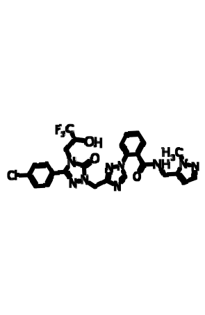 Cn1nccc1CNC(=O)c1ccccc1-n1cnc(Cn2nc(-c3ccc(Cl)cc3)n(C[C@H](O)C(F)(F)F)c2=O)n1